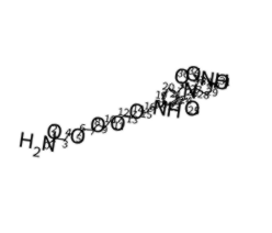 NC(=O)CCOCCOCCOCCOCCNc1ccc2c(c1)C(=O)N(C1CCC(=O)NC1=O)C2=O